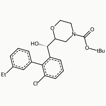 CCc1cccc(-c2c(Cl)cccc2[C@H](O)C2CN(C(=O)OC(C)(C)C)CCO2)c1